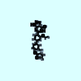 CCOc1cc(-c2cccc(C[C@H](CC)C(=O)O)c2)ccc1-c1nc2[nH]nnc2c(=O)[nH]1